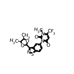 C[C@@H]1OC(c2nsc3ccc(-n4c(=O)cc(C(F)(F)F)n(C)c4=O)cc23)O[C@@H]1C